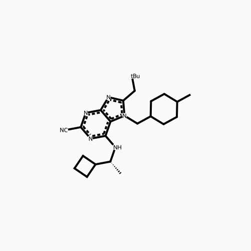 CC1CCC(Cn2c(CC(C)(C)C)nc3nc(C#N)nc(N[C@H](C)C4CCC4)c32)CC1